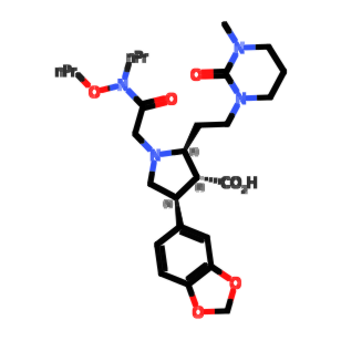 CCCON(CCC)C(=O)CN1C[C@H](c2ccc3c(c2)OCO3)[C@@H](C(=O)O)[C@@H]1CCN1CCCN(C)C1=O